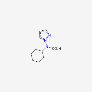 O=C(O)N(C1CCCCC1)n1cccn1